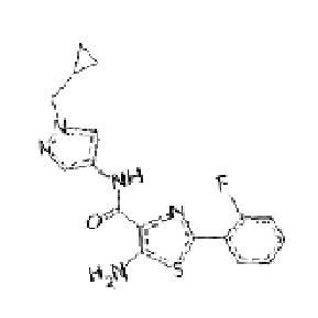 Nc1sc(-c2ccccc2F)nc1C(=O)Nc1cnn(CC2CC2)c1